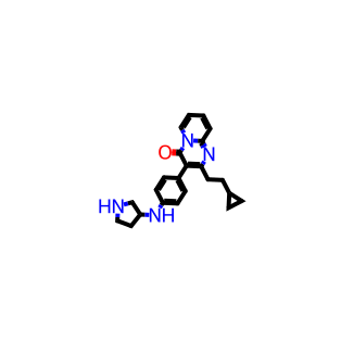 O=c1c(-c2ccc(NC3CCNC3)cc2)c(CCC2CC2)nc2ccccn12